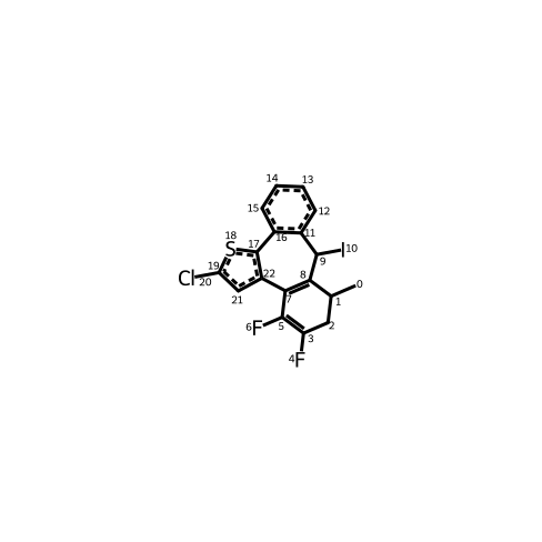 CC1CC(F)=C(F)C2=C1C(I)c1ccccc1-c1sc(Cl)cc12